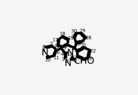 O=Cc1ncc(Cc2ccncc2)n1C(c1ccccc1)(c1ccccc1)c1ccccc1